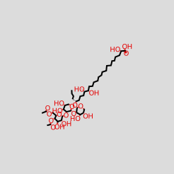 CCCC[C@H](CCC[C@H](O)[C@H](O)CCCCCCCCCCCCCC[C@H](O)C(=O)O)OC1OCC(O)C(O)C1OC1OCC(O)C(O)C1OC1OC(COC(C)=O)C(OC(C)=O)C(O)C1O